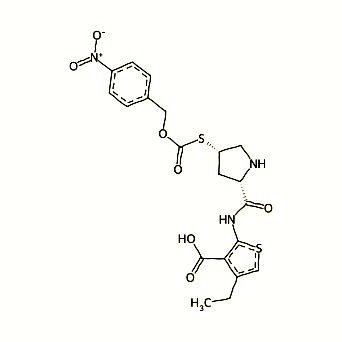 CCc1csc(NC(=O)[C@@H]2C[C@H](SC(=O)OCc3ccc([N+](=O)[O-])cc3)CN2)c1C(=O)O